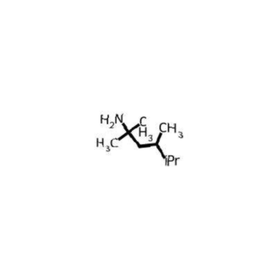 CC(C)C(C)CC(C)(C)N